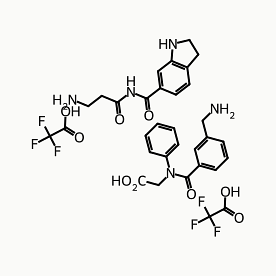 NCCC(=O)NC(=O)c1ccc2c(c1)NCC2.NCc1cccc(C(=O)N(CC(=O)O)c2ccccc2)c1.O=C(O)C(F)(F)F.O=C(O)C(F)(F)F